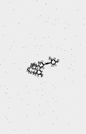 N/N=C\N(N)CC(c1ccc(F)cc1F)C(F)c1ccc(C#Cc2ccc(F)cc2F)cn1